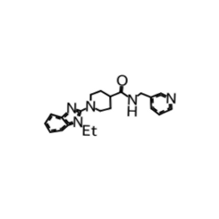 CCn1c(N2CCC(C(=O)NCc3cccnc3)CC2)nc2ccccc21